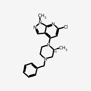 C[C@H]1CN(Cc2ccccc2)CCN1c1cc(Cl)nc2c1cnn2C